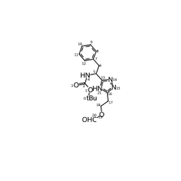 CC(C)(C)OC(=O)NC(Cc1ccccc1)c1nnc(CCOC=O)[nH]1